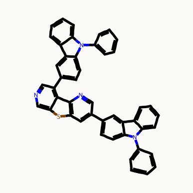 c1ccc(-n2c3ccccc3c3cc(-c4cnc5c(c4)sc4cncc(-c6ccc7c(c6)c6ccccc6n7-c6ccccc6)c45)ccc32)cc1